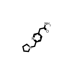 NC(=O)Cc1ccc(CN2CCCC2)nc1